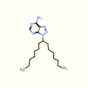 CCCCCCCC(CCCCCCC)n1nnc2c(N)ncnc21